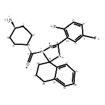 N[C@H]1CC[C@H](C(=O)N2N=C(c3cc(F)ccc3F)SC23CCCc2ccccc23)CC1